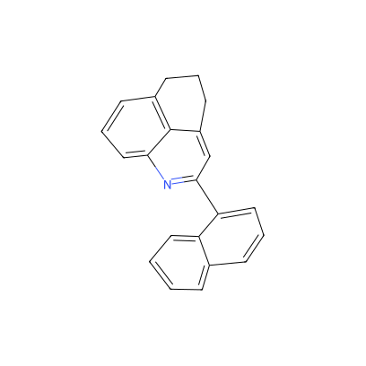 c1ccc2c(-c3cc4c5c(cccc5n3)CCC4)cccc2c1